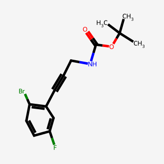 CC(C)(C)OC(=O)NCC#Cc1cc(F)ccc1Br